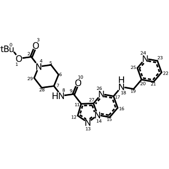 CC(C)(C)OC(=O)N1CCC(NC(=O)c2cnn3ccc(NCc4cccnc4)nc23)CC1